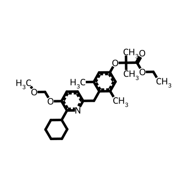 CCOC(=O)C(C)(C)Oc1cc(C)c(Cc2ccc(OCOC)c(C3CCCCC3)n2)c(C)c1